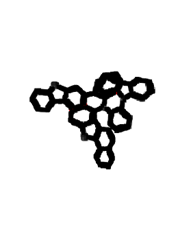 c1ccc(N(c2ccccc2-n2c3ccccc3c3ccccc32)c2cccc3oc4c5ccccc5ccc4c23)c(-c2ccc3c(c2)oc2ccccc23)c1